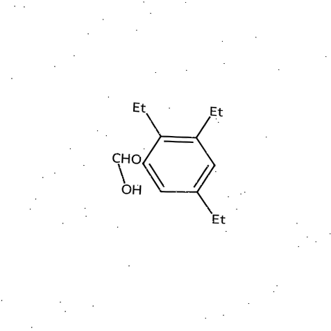 CCc1ccc(CC)c(CC)c1.O=CO